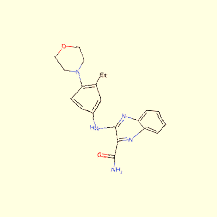 CCc1cc(Nc2nc3ccccc3nc2C(N)=O)ccc1N1CCOCC1